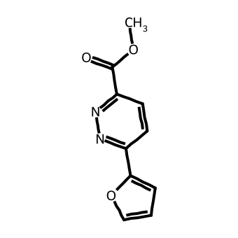 COC(=O)c1ccc(-c2ccco2)nn1